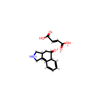 O=C(O)C=CC(=O)O.O=C1CC2CNCC2=C2C=CC=CC12